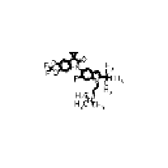 CC(C)(C)c1cc2cc(NC(=O)C3(c4ccc5c(c4)OC(F)(F)O5)CC3)c(F)cc2n1CCC[N+](C)(C)C